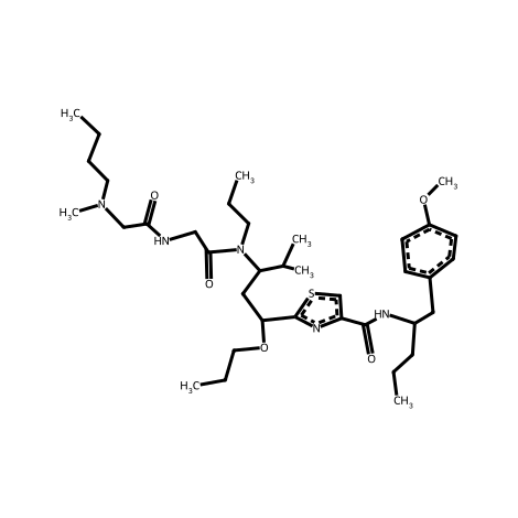 CCCCN(C)CC(=O)NCC(=O)N(CCC)C(CC(OCCC)c1nc(C(=O)NC(CCC)Cc2ccc(OC)cc2)cs1)C(C)C